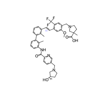 COc1cc(/C=C/c2cccc(-c3cccc(NC(=O)c4ccc(CN5CC[C@@H](O)C5)cn4)c3C)c2C)c(C(F)(F)F)cc1CN1CCC(C)(C(=O)O)C1